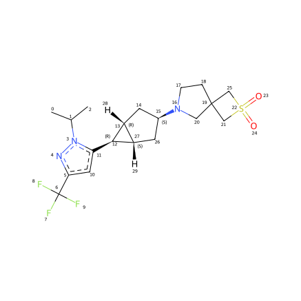 CC(C)n1nc(C(F)(F)F)cc1[C@H]1[C@@H]2C[C@@H](N3CCC4(C3)CS(=O)(=O)C4)C[C@@H]21